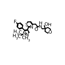 CC(C)(C)n1ncc(C2=NC(CC(=O)NCC3(CO)CCOCC3)=CCS2)c1-c1ccc(F)cc1